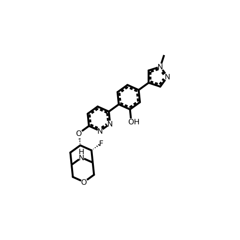 Cn1cc(-c2ccc(-c3ccc(O[C@H]4CC5COCC(N5)[C@H]4F)nn3)c(O)c2)cn1